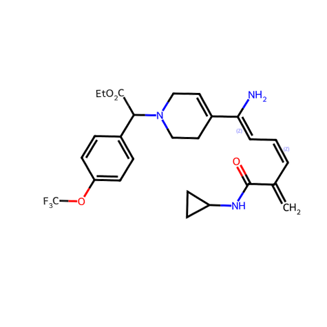 C=C(/C=C\C=C(/N)C1=CCN(C(C(=O)OCC)c2ccc(OC(F)(F)F)cc2)CC1)C(=O)NC1CC1